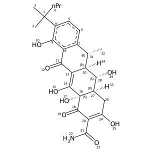 CCCC(C)(C)c1ccc2c(c1O)C(=O)C1=C(O)[C@]3(O)C(=O)C(C(N)=O)=C(O)C[C@@H]3[C@@H](O)[C@@H]1[C@H]2C